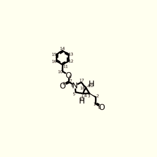 O=CC[C@H]1[C@H]2CN(C(=O)OCc3ccccc3)C[C@@H]12